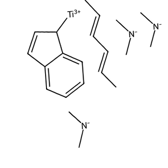 CC=CC=CC.C[N-]C.C[N-]C.C[N-]C.[Ti+3][CH]1C=Cc2ccccc21